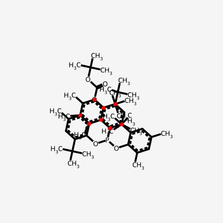 Cc1cc(C)c(OP(Oc2c(-c3cc(C)cc(C(C)(C)C)c3OC(=O)OC(C)(C)C)cc(C)cc2C(C)(C)C)Oc2c(C(C)(C)C)cc(C)c(C)c2C)c(C(C)(C)C)c1